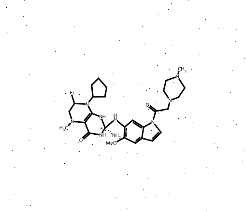 CCC1CN(C)C2=C(N[C@@](N)(Nc3cc4c(ccn4C(=O)CN4CCN(C)CC4)cc3OC)NC2=O)N1C1CCCC1